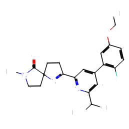 CCOc1ccc(F)c(-c2cc(C3=NC4(CC3)CCN(C)C4=O)nc(C(C)C)c2)c1